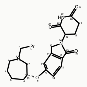 CC(C)CN1CCCC[C@@H](Oc2ccc3c(c2)CN(C2CCC(=O)NC2=O)C3=O)C1